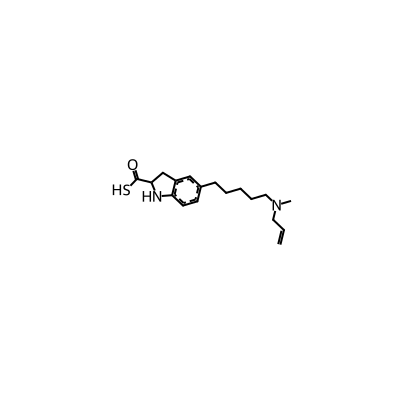 C=CCN(C)CCCCCc1ccc2c(c1)CC(C(=O)S)N2